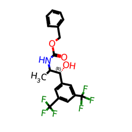 CC(NC(=O)OCc1ccccc1)[C@H](O)c1cc(C(F)(F)F)cc(C(F)(F)F)c1